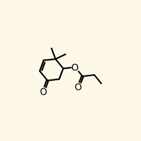 CCC(=O)OC1CC(=O)C=CC1(C)C